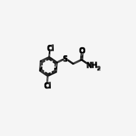 NC(=O)CSc1cc(Cl)ccc1Cl